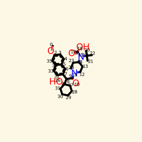 COc1ccc2cc(C(C(=O)N3CCC(N(C(=O)O)C(C)(C)C)CC3)C3(O)CCCCC3)ccc2c1